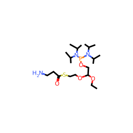 CCOC(COP(N(C(C)C)C(C)C)N(C(C)C)C(C)C)OCCSC(=O)CCN